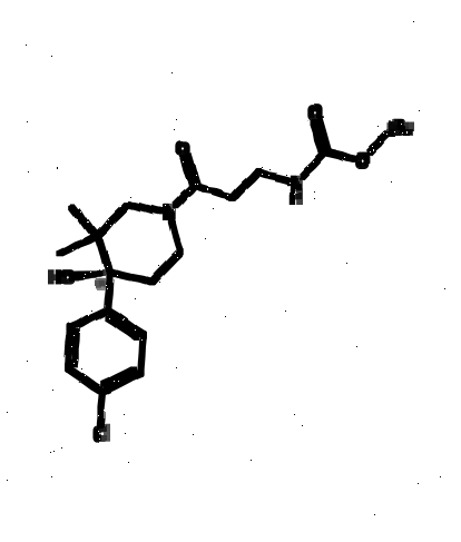 CC(C)(C)OC(=O)NCCC(=O)N1CC[C@](O)(c2ccc(Cl)cc2)C(C)(C)C1